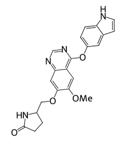 COc1cc2c(Oc3ccc4[nH]ccc4c3)ncnc2cc1OCC1CCC(=O)N1